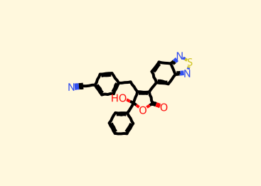 N#Cc1ccc(CC2=C(c3ccc4nsnc4c3)C(=O)OC2(O)c2ccccc2)cc1